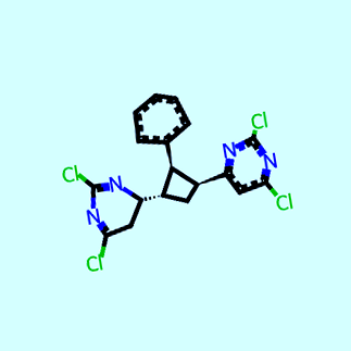 ClC1=NC(Cl)=NC([C@H]2C[C@H](c3cc(Cl)nc(Cl)n3)[C@@H]2c2ccccc2)C1